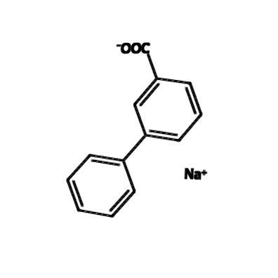 O=C([O-])c1cccc(-c2ccccc2)c1.[Na+]